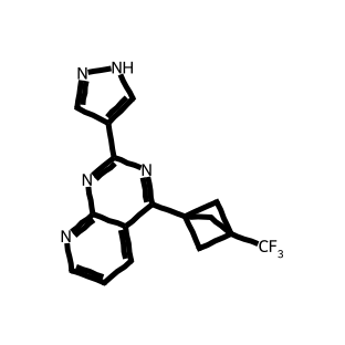 FC(F)(F)C12CC(c3nc(-c4cn[nH]c4)nc4ncccc34)(C1)C2